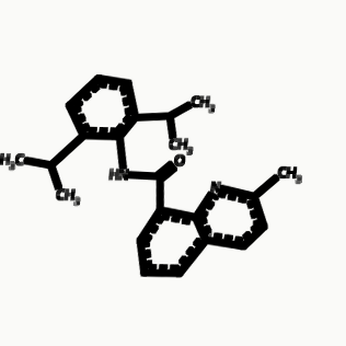 Cc1ccc2cccc(C(=O)Nc3c(C(C)C)cccc3C(C)C)c2n1